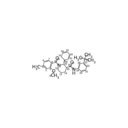 COc1cc(C)ccc1C(=O)N1CCC[C@H](C(=O)Nc2cccc(C(C)(C)C)c2)[C@@H]1C1C=CC=CC1